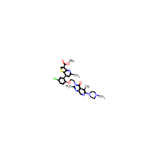 Cc1cc(-c2cc(Cl)ccc2OCCn2c(C)nc3cnc(N4CCN(C)CC4)c(C#N)c3c2=O)c2scc(C(=O)OC(C)(C)C)c2n1